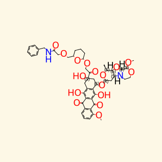 COc1cccc2c1C(=O)c1c(O)c3c(c(O)c1C2=O)C[C@@](O)(C(=O)COC1CCCC(COCC(=O)NCc2ccccc2)O1)C[C@@H]3O[C@H]1C[C@H]2[C@H](O[C@@H]3[C@@H](OC)OCCN32)[C@H](C)O1